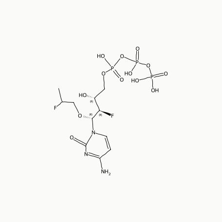 CC(F)CO[C@H]([C@H](F)[C@H](O)COP(=O)(O)OP(=O)(O)OP(=O)(O)O)n1ccc(N)nc1=O